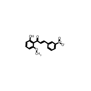 COc1cccc(O)c1C(=O)C=Cc1cccc([N+](=O)[O-])c1